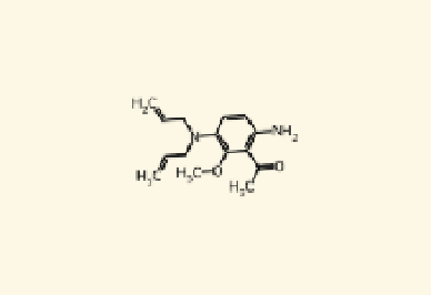 C=CCN(CC=C)c1ccc(N)c(C(C)=O)c1OC